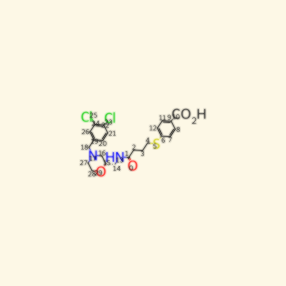 O=C(CCCSc1ccc(C(=O)O)cc1)NC[C@H]1CN(Cc2ccc(Cl)c(Cl)c2)CCO1